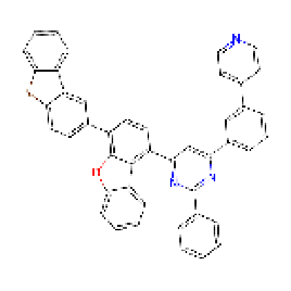 c1ccc(-c2nc(-c3cccc(-c4ccncc4)c3)cc(-c3ccc(-c4ccc5sc6ccccc6c5c4)c4oc5ccccc5c34)n2)cc1